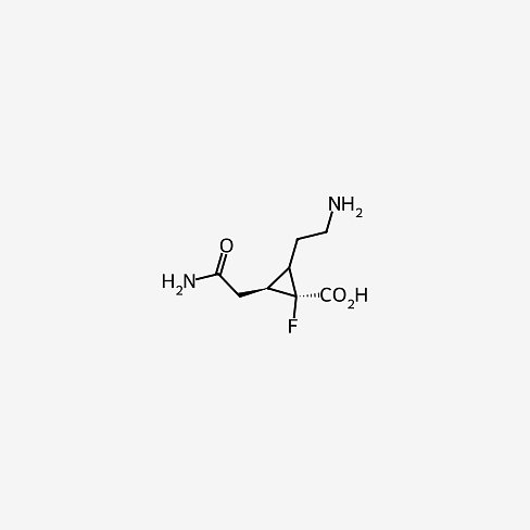 NCCC1[C@H](CC(N)=O)[C@@]1(F)C(=O)O